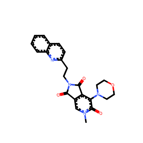 Cn1cc2c(c(N3CCOCC3)c1=O)C(=O)N(CCc1ccc3ccccc3n1)C2=O